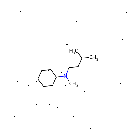 CC(C)CCN(C)C1CCCCC1